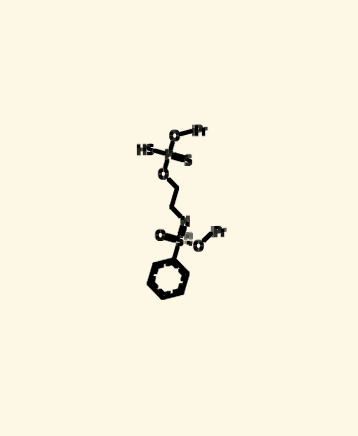 CC(C)OP(=S)(S)OCCN=[S@@](=O)(OC(C)C)c1ccccc1